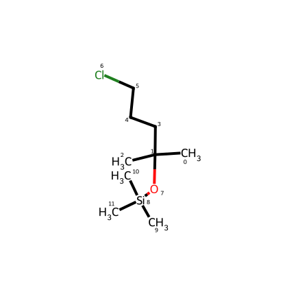 CC(C)(CCCCl)O[Si](C)(C)C